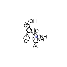 CC(=O)C1=CN/C(=C(\C=N)C(=O)Nc2cc3c(cc2N2CCOCC2)O[C@@](C)(CO)C3)N=C1